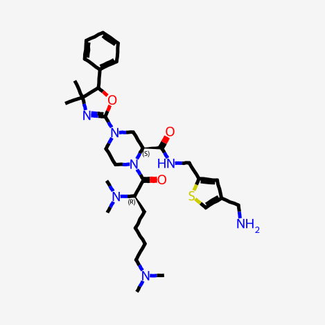 CN(C)CCCC[C@H](C(=O)N1CCN(C2=NC(C)(C)C(c3ccccc3)O2)C[C@H]1C(=O)NCc1cc(CN)cs1)N(C)C